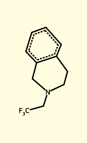 FC(F)(F)CN1CCc2ccccc2C1